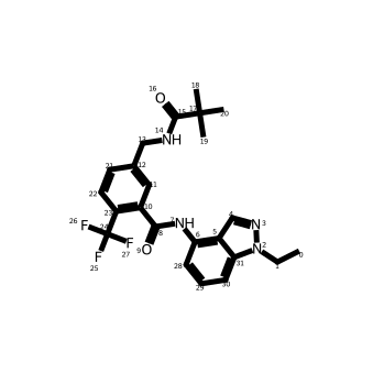 CCn1ncc2c(NC(=O)c3cc(CNC(=O)C(C)(C)C)ccc3C(F)(F)F)cccc21